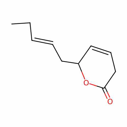 CCC=CCC1C=CCC(=O)O1